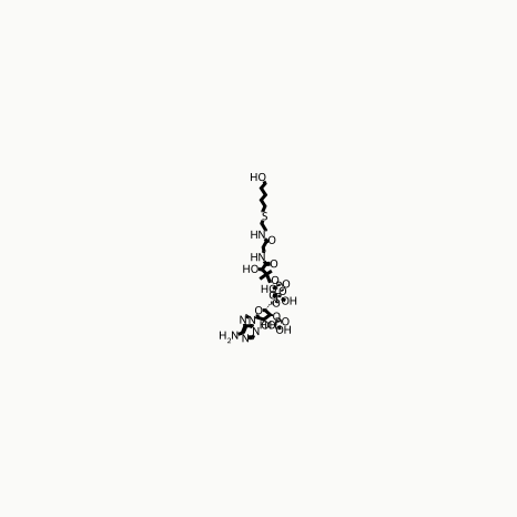 CC(C)(COP(=O)(O)OP(=O)(O)OC[C@H]1O[C@@H](n2cnc3c(N)ncnc32)[C@H](O)[C@@H]1OP(=O)(O)O)C(O)C(=O)NCCC(=O)NCCSCCCCCCO